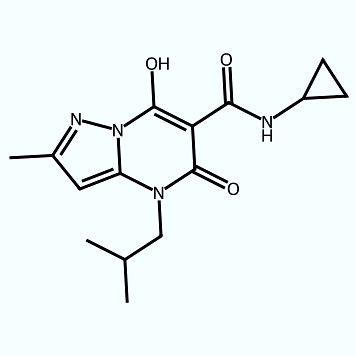 Cc1cc2n(CC(C)C)c(=O)c(C(=O)NC3CC3)c(O)n2n1